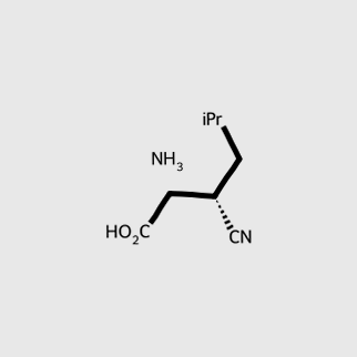 CC(C)C[C@H](C#N)CC(=O)O.N